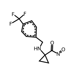 O=NC(=O)C1(NCc2ccc(C(F)(F)F)cc2)CC1